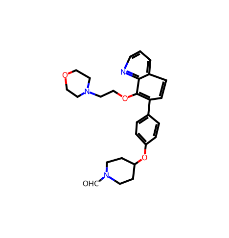 O=CN1CCC(Oc2ccc(-c3ccc4cccnc4c3OCCN3CCOCC3)cc2)CC1